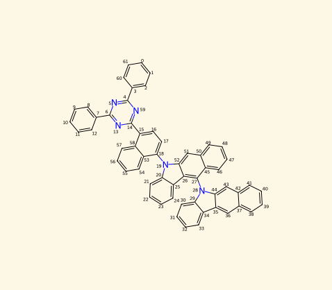 c1ccc(-c2nc(-c3ccccc3)nc(-c3ccc(-n4c5ccccc5c5c(-n6c7ccccc7c7cc8ccccc8cc76)c6ccccc6cc54)c4ccccc34)n2)cc1